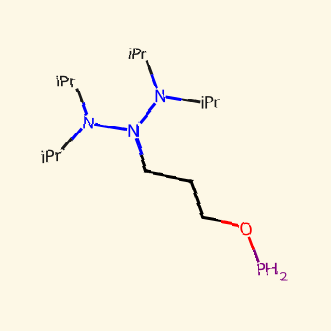 CC(C)N(C(C)C)N(CCCOP)N(C(C)C)C(C)C